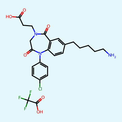 NCCCCCc1ccc2c(c1)C(=O)N(CCC(=O)O)CC(=O)N2c1ccc(Cl)cc1.O=C(O)C(F)(F)F